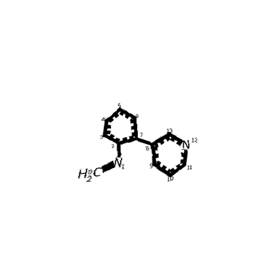 C=Nc1ccccc1-c1cccnc1